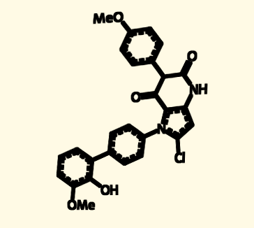 COc1ccc(C2C(=O)Nc3cc(Cl)n(-c4ccc(-c5cccc(OC)c5O)cc4)c3C2=O)cc1